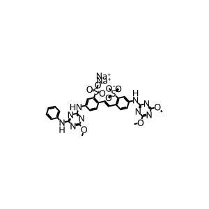 COc1nc(Nc2ccccc2)nc(Nc2ccc(C=Cc3ccc(Nc4nc(OC)nc(OC)n4)cc3S(=O)(=O)[O-])c(S(=O)(=O)[O-])c2)n1.[Na+].[Na+]